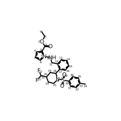 CCOC(=O)c1cccn1NCc1ccccc1C1CC(C(F)F)CCN1S(=O)(=O)c1ccc(C)cc1